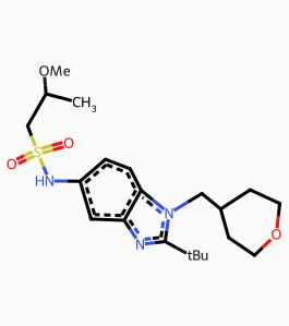 COC(C)CS(=O)(=O)Nc1ccc2c(c1)nc(C(C)(C)C)n2CC1CCOCC1